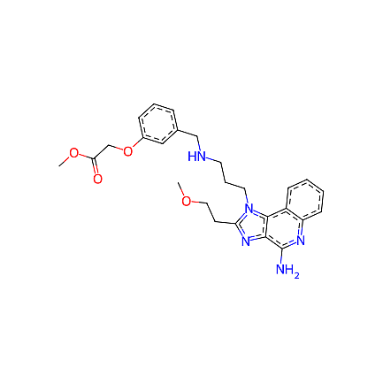 COCCc1nc2c(N)nc3ccccc3c2n1CCCNCc1cccc(OCC(=O)OC)c1